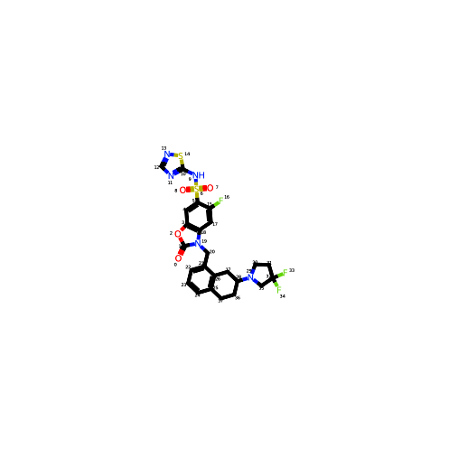 O=c1oc2cc(S(=O)(=O)Nc3ncns3)c(F)cc2n1Cc1cccc2c1CC(N1CCC(F)(F)C1)CC2